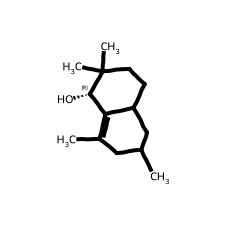 CC1=C2C(CCC(C)(C)[C@H]2O)CC(C)C1